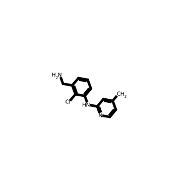 Cc1ccnc(Nc2cccc(CN)c2Cl)c1